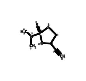 C#CC1CSP(=S)(N(C)C)O1